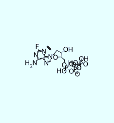 C#C[C@]1(n2cnc3c(N)nc(F)nc32)C[C@H](O)[C@@H](COP(=O)(O)OP(=O)(O)OP(=O)(O)O)O1